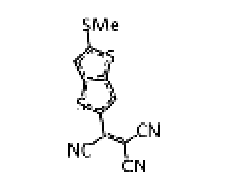 CSc1cc2sc(C(C#N)=C(C#N)C#N)cc2s1